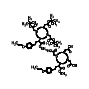 CCCOc1ccc(CCC(C(=O)OC)N2CCN(CC(=O)O)CCN(CC(=O)O)CCN(CC(=O)O)CC2)cc1.CCCOc1ccc(CCC(C(=O)OC)N2CCN(CC(=O)OC(C)(C)C)CCN(CC(=O)OC(C)(C)C)CCN(CC(=O)OC(C)(C)C)CC2)cc1